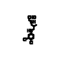 CC(CNCC=O)CNc1ccc(Cl)c(Cl)c1